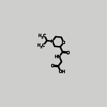 CC(C)N1CCOC(C(=O)NCC(=O)O)C1